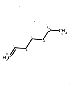 C=CC[CH]COC